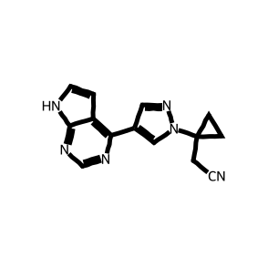 N#CCC1(n2cc(-c3ncnc4[nH]ccc34)cn2)CC1